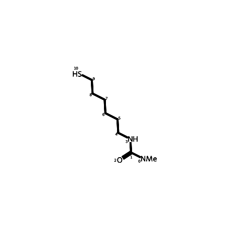 CNC(=O)NCCCCCCS